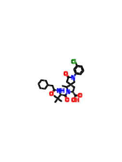 CC1N(C(=O)C(NC(=O)CC2CCCCC2)C(C)(C)C)[C@H](C(=O)O)C[C@]12CC(=O)N(c1cccc(Cl)c1)C2